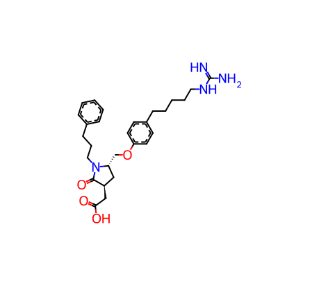 N=C(N)NCCCCCc1ccc(OC[C@@H]2C[C@@H](CC(=O)O)C(=O)N2CCCc2ccccc2)cc1